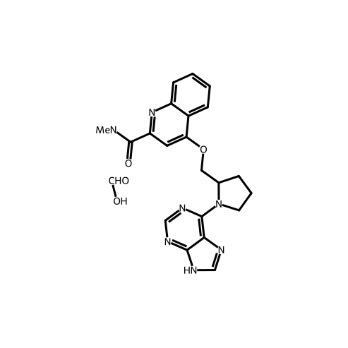 CNC(=O)c1cc(OCC2CCCN2c2ncnc3[nH]cnc23)c2ccccc2n1.O=CO